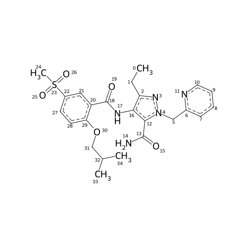 CCc1nn(Cc2ccccn2)c(C(N)=O)c1NC(=O)c1cc(S(C)(=O)=O)ccc1OCC(C)C